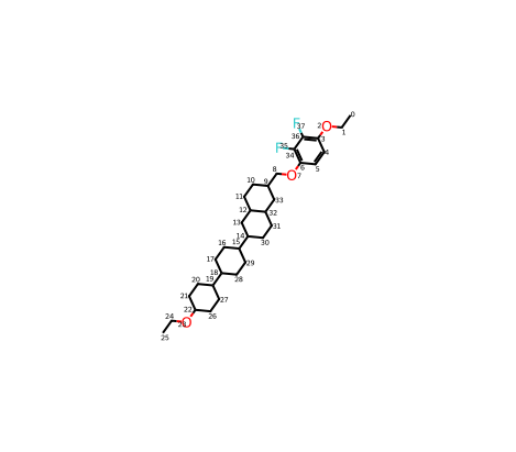 CCOc1ccc(OCC2CCC3CC(C4CCC(C5CCC(OCC)CC5)CC4)CCC3C2)c(F)c1F